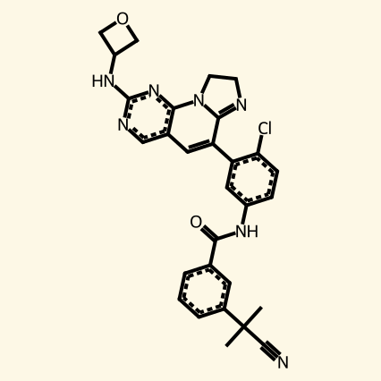 CC(C)(C#N)c1cccc(C(=O)Nc2ccc(Cl)c(C3=Cc4cnc(NC5COC5)nc4N4CCN=C34)c2)c1